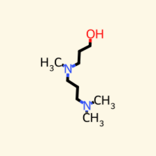 CN(C)CCCN(C)CCCO